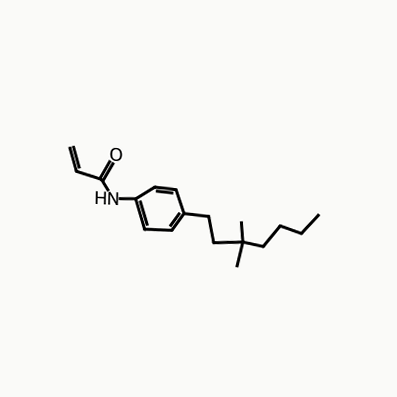 C=CC(=O)Nc1ccc(CCC(C)(C)CCCC)cc1